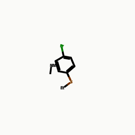 CCSc1ccc(Br)cc1.CNC